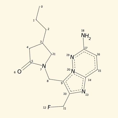 CCCC1CC(=O)N(Cc2c(CF)nc3ccc(N)nn23)C1